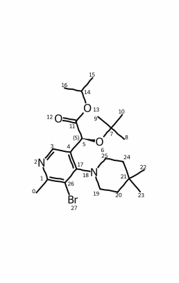 Cc1ncc([C@H](OC(C)(C)C)C(=O)OC(C)C)c(N2CCC(C)(C)CC2)c1Br